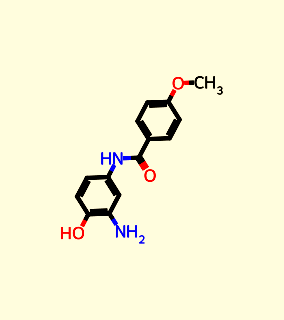 COc1ccc(C(=O)Nc2ccc(O)c(N)c2)cc1